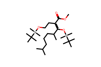 COC(=O)C(CCO[Si](C)(C)C(C)(C)C)=C(O[Si](C)(C)C(C)(C)C)C(C)CCCC(C)C